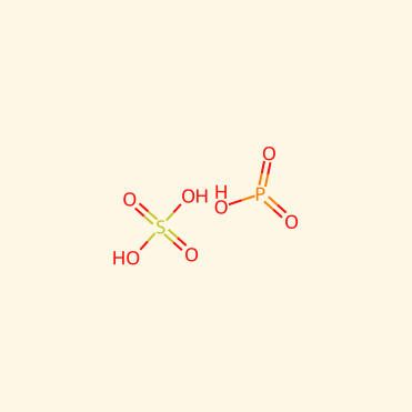 O=P(=O)O.O=S(=O)(O)O